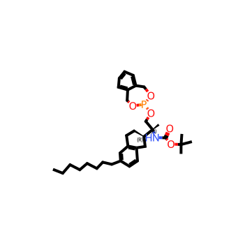 CCCCCCCCc1ccc2c(c1)CC[C@@H]([C@](C)(COP1OCc3ccccc3CO1)NC(=O)OC(C)(C)C)C2